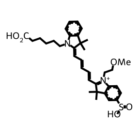 COCC[N+]1=C(/C=C/C=C/C=C2/N(CCCCCC(=O)O)c3ccccc3C2(C)C)C(C)(C)c2cc(S(=O)O)ccc21